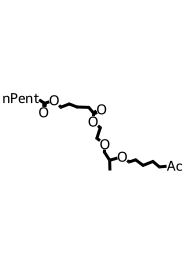 CCCCCC(=O)OCCCCC(=O)OCCOCC(C)OCCCCCC(C)=O